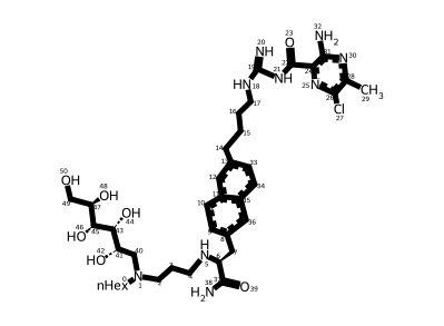 CCCCCCN(CCCN[C@@H](Cc1ccc2cc(CCCCNC(=N)NC(=O)c3nc(Cl)c(C)nc3N)ccc2c1)C(N)=O)C[C@H](O)[C@@H](O)[C@H](O)[C@H](O)CO